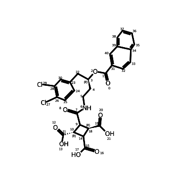 O=C(O[C@@H](CCNC(=O)C1[C@@H](C(=O)O)C(C(=O)O)[C@@H]1C(=O)O)Cc1ccc(Cl)c(Cl)c1)c1ccc2ccccc2c1